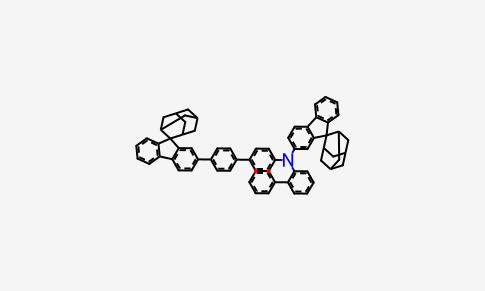 c1ccc(-c2ccccc2N(c2ccc(-c3ccc(-c4ccc5c(c4)C4(c6ccccc6-5)C5CC6CC(C5)CC4C6)cc3)cc2)c2ccc3c(c2)C2(c4ccccc4-3)C3CC4CC(C3)CC2C4)cc1